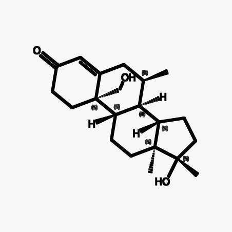 C[C@@H]1CC2=CC(=O)CC[C@]2(CO)[C@H]2CC[C@@]3(C)[C@@H](CC[C@]3(C)O)[C@H]12